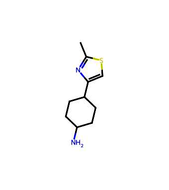 Cc1nc(C2CCC(N)CC2)cs1